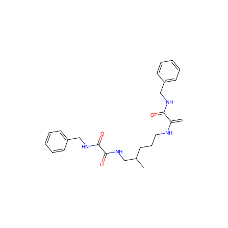 C=C(NCCCC(C)CNC(=O)C(=O)NCc1ccccc1)C(=O)NCc1ccccc1